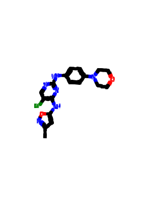 Cc1cc(Nc2nc(Nc3ccc(N4CCOCC4)cc3)ncc2Br)on1